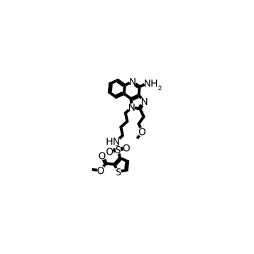 COCCc1nc2c(N)nc3ccccc3c2n1CCCCNS(=O)(=O)c1ccsc1C(=O)OC